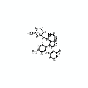 CCc1ccc(-c2c(-c3ccccc3F)oc3ncnc(O[C@H]4CCCC(O)C4)c23)cc1